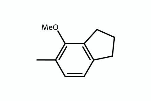 COc1c(C)ccc2c1CCC2